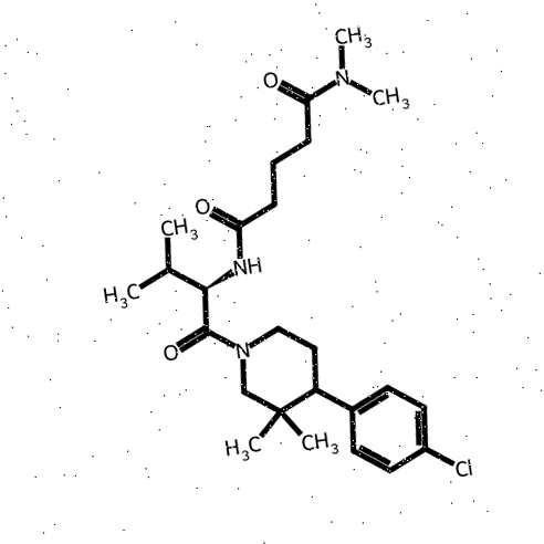 CC(C)[C@@H](NC(=O)CCCC(=O)N(C)C)C(=O)N1CCC(c2ccc(Cl)cc2)C(C)(C)C1